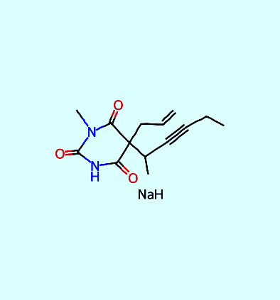 C=CCC1(C(C)C#CCC)C(=O)NC(=O)N(C)C1=O.[NaH]